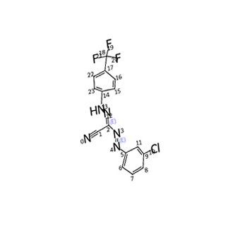 N#CC(/N=N/c1cccc(Cl)c1)=N\Nc1ccc(C(F)(F)F)cc1